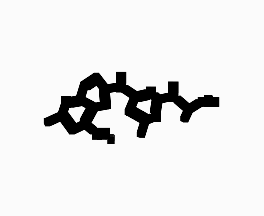 CCCCC(C)Nc1nc(C)cc(Nc2ccc3nc(C)cc(N)c3c2)n1